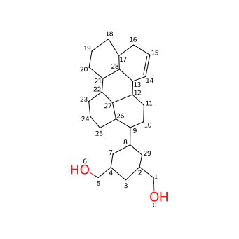 OCC1CC(CO)CC(C2CCC3C4C=CCC5CCCC(C6CCCC2C36)C54)C1